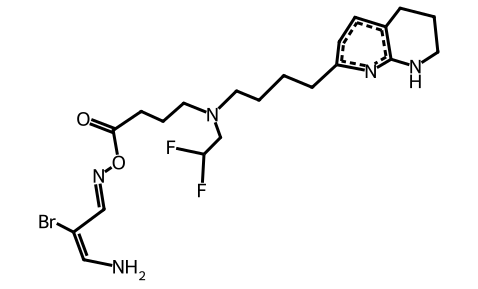 N/C=C(Br)\C=N\OC(=O)CCCN(CCCCc1ccc2c(n1)NCCC2)CC(F)F